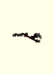 CCCCC/C=C\CCSC(=O)CCCCCCCC(CCCCCCCC(C)=O)OC(=O)CCCN(C)C